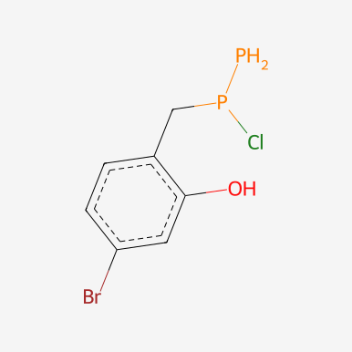 Oc1cc(Br)ccc1CP(P)Cl